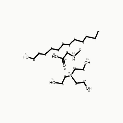 CCCCCCCCCCCCO.CNCC(=O)O.OCCN(CCO)CCO